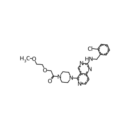 COCCOCC(=O)N1CCN(c2nccc3nc(NCc4ccccc4Cl)ncc23)CC1